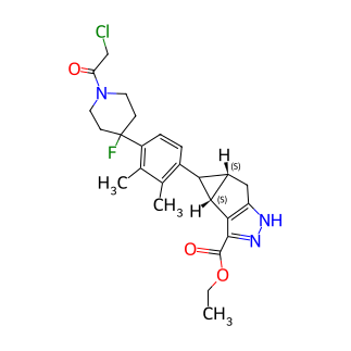 CCOC(=O)c1n[nH]c2c1[C@@H]1C(c3ccc(C4(F)CCN(C(=O)CCl)CC4)c(C)c3C)[C@@H]1C2